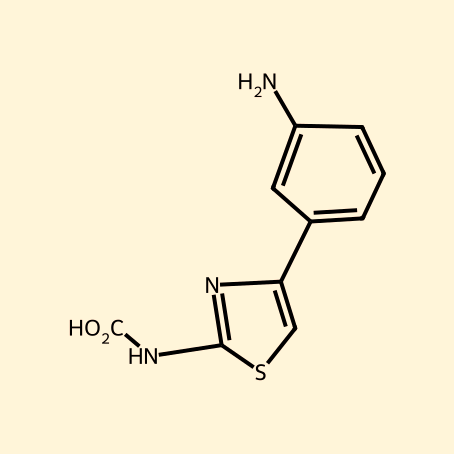 Nc1cccc(-c2csc(NC(=O)O)n2)c1